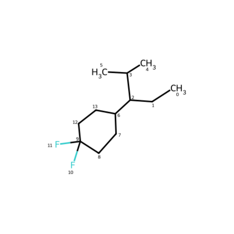 CCC(C(C)C)C1CCC(F)(F)CC1